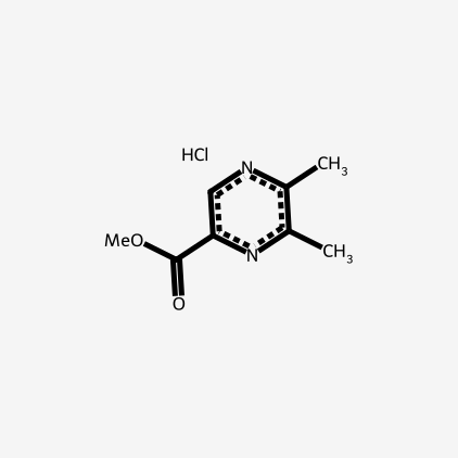 COC(=O)c1cnc(C)c(C)n1.Cl